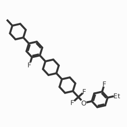 CCc1ccc(OC(F)(F)C2CCC(C3CCC(c4ccc(C5CCC(C)CC5)cc4F)CC3)CC2)cc1F